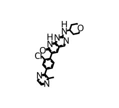 Cc1nccnc1-c1ccc(-c2cc3cnc(NC4CCOCC4)nc3[nH]c2=O)c(Cl)c1